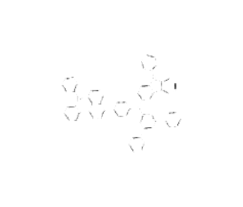 c1ccc(-c2cc(-c3ccccc3)cc(N(c3ccc(-c4ccc5c6c(cccc46)N(c4ccccc4)c4ccccc4-5)cc3)c3ccc4c(c3)c3ccccc3n4-c3ccccc3)c2)cc1